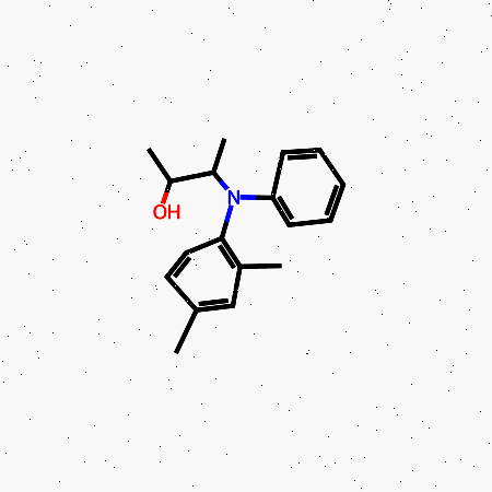 Cc1ccc(N(c2ccccc2)C(C)C(C)O)c(C)c1